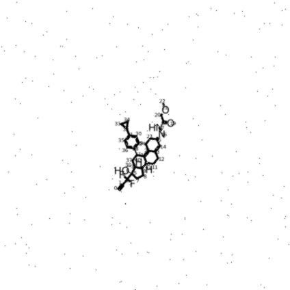 C#CC(F)(F)[C@]1(O)CC[C@H]2[C@@H]3CCC4=C/C(=N/NC(=O)COC)CCC4=C3[C@H](c3ccc(C4CC4)cc3)C[C@@]21C